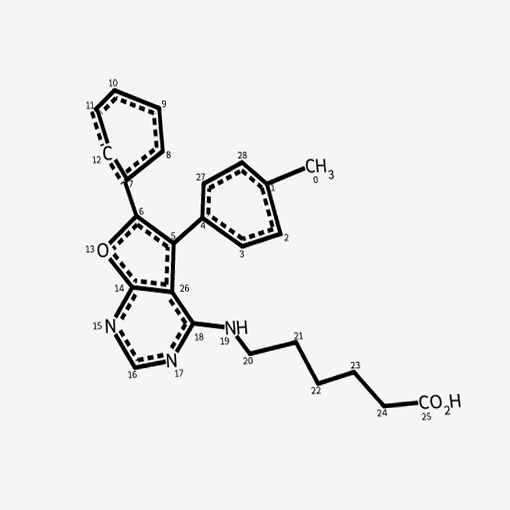 Cc1ccc(-c2c(-c3ccccc3)oc3ncnc(NCCCCCC(=O)O)c23)cc1